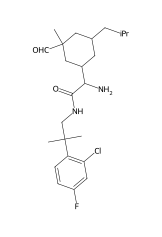 CC(C)CC1CC(C(N)C(=O)NCC(C)(C)c2ccc(F)cc2Cl)CC(C)(C=O)C1